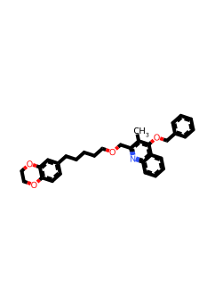 Cc1c(COCCCCCc2ccc3c(c2)OCCO3)nc2ccccc2c1OCc1ccccc1